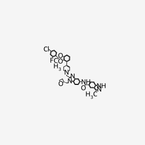 Cc1n[nH]c2ccc(C(=O)Nc3ccc4c(c3)nc(CN3CC=C(c5cccc6c5OC(C)(c5ccc(Cl)cc5F)O6)CC3)n4C[C@@H]3CCO3)cc12